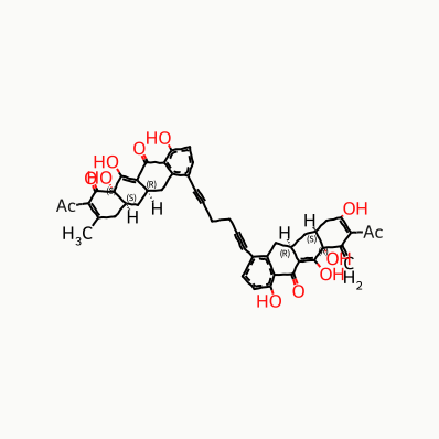 C=C1C(C(C)=O)=C(O)C[C@@H]2C[C@@H]3Cc4c(C#CCCC#Cc5ccc(O)c6c5C[C@H]5C[C@H]7CC(C)=C(C(C)=O)C(=O)[C@@]7(O)C(O)=C5C6=O)ccc(O)c4C(=O)C3=C(O)[C@]12O